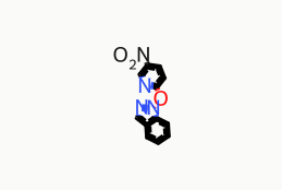 O=[N+]([O-])c1ccc(On2ncc3ccccc32)nc1